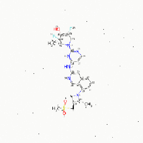 C[C@@H]1[C@@H](CS(C)(=O)=O)CN1c1cccc2cc(Nc3ccnc(N4C[C@@H](F)[C@@H](O)[C@](C)(F)C4)n3)ncc12